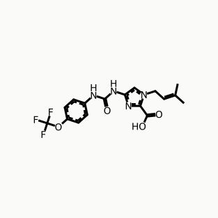 CC(C)=CCn1cc(NC(=O)Nc2ccc(OC(F)(F)F)cc2)nc1C(=O)O